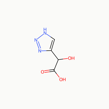 O=C(O)C(O)c1c[nH]nn1